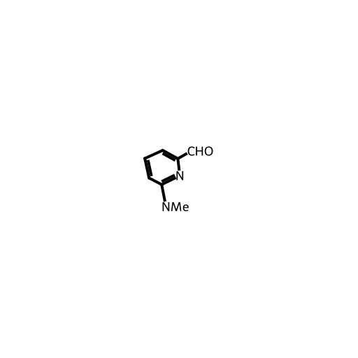 CNc1cccc(C=O)n1